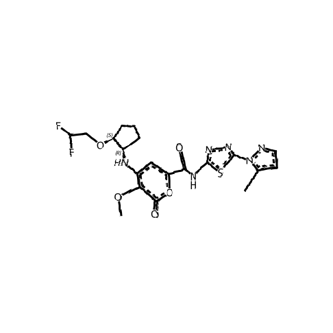 COc1c(N[C@@H]2CCC[C@@H]2OCC(F)F)cc(C(=O)Nc2nnc(-n3nccc3C)s2)oc1=O